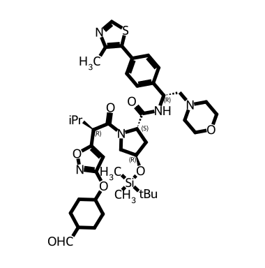 Cc1ncsc1-c1ccc([C@H](CN2CCOCC2)NC(=O)[C@@H]2C[C@@H](O[Si](C)(C)C(C)(C)C)CN2C(=O)[C@@H](c2cc(OC3CCC(C=O)CC3)no2)C(C)C)cc1